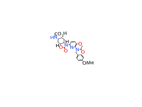 COc1ccc(CN2C(=O)COc3ccc(N4C(=O)O[C@H]5C[C@H](NC(=O)O)CC[C@H]54)nc32)cc1